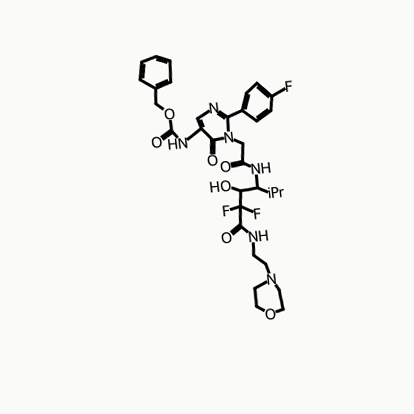 CC(C)C(NC(=O)Cn1c(-c2ccc(F)cc2)ncc(NC(=O)OCc2ccccc2)c1=O)C(O)C(F)(F)C(=O)NCCN1CCOCC1